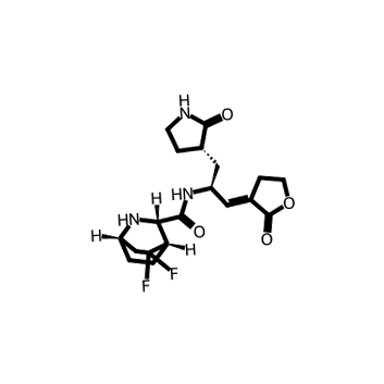 O=C1OCC/C1=C\[C@H](C[C@@H]1CCNC1=O)NC(=O)[C@H]1N[C@H]2CC[C@@H]1C(F)(F)C2